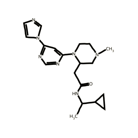 CC(NC(=O)CC1CN(C)CCN1c1cc(-n2ccnc2)ncn1)C1CC1